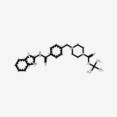 CC(C)(C)OC(=O)N1CCN(Cc2ccc(C(=O)Nc3nc4ccccc4[nH]3)cc2)CC1